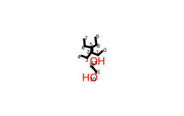 CCC(CC)=C(CC)CC.OCCO